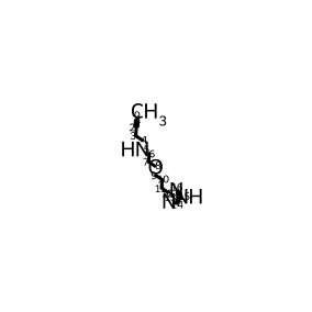 CC#CCCNCCOCCCc1nc[nH]n1